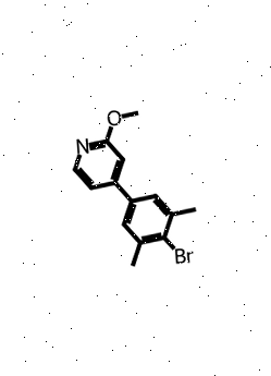 COc1cc(-c2cc(C)c(Br)c(C)c2)ccn1